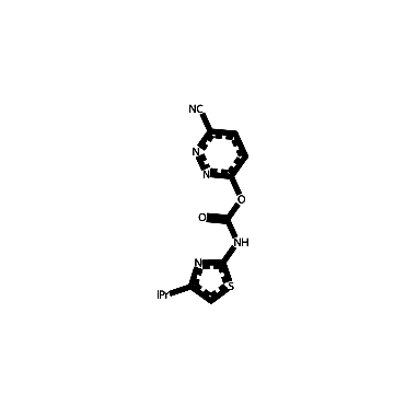 CC(C)c1csc(NC(=O)Oc2ccc(C#N)nn2)n1